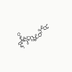 Nc1nc(/C(=N/OC2CCCC2)C(=O)N[C@@H]2C(=O)N3C(C(=O)[O-])=C(C=C4CCN(Cc5cc[n+](CC(=O)Nc6ccc(F)c(F)c6)cc5)C4=O)CS[C@H]23)cs1